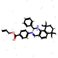 C=CCOC(=O)c1ccc(N=Cc2ccc3c(c2NCc2ccccc2)C(C)(C)CCC3(C)C)cc1